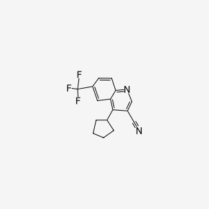 N#Cc1cnc2ccc(C(F)(F)F)cc2c1C1CCCC1